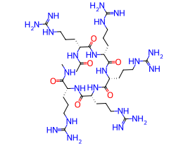 CNC(=O)[C@@H](CCCNC(=N)N)NC(=O)[C@@H](CCCNC(=N)N)NC(=O)[C@@H](CCCNC(=N)N)NC(=O)[C@@H](CCCNC(=N)N)NC(=O)[C@@H](CCCNC(=N)N)NC(C)=O